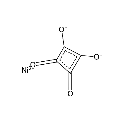 O=c1c([O-])c([O-])c1=O.[Ni+2]